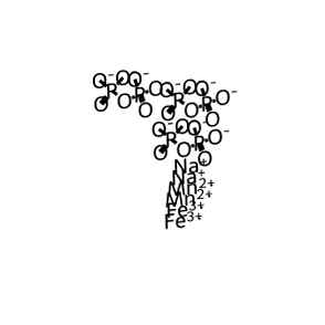 O=P([O-])([O-])OP(=O)([O-])[O-].O=P([O-])([O-])OP(=O)([O-])[O-].O=P([O-])([O-])OP(=O)([O-])[O-].[Fe+3].[Fe+3].[Mn+2].[Mn+2].[Na+].[Na+]